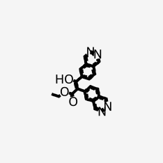 CCOC(=O)/C(=C(\O)c1ccc2cnncc2c1)c1ccc2cnncc2c1